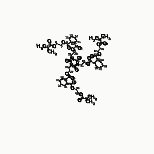 C=C(C)C(=O)OCCOC(=O)c1ccccc1C(=O)OCCn1c(=O)n(CCOC(=O)c2ccccc2C(=O)OCCOC(=O)C(=C)C)c(=O)n(CCOC(=O)c2ccccc2C(=O)OCCOC(=O)C(=C)C)c1=O